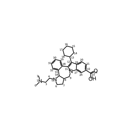 CN(C)CCN1CCC2Cn3c(c(C4CCCCC4)c4ccc(C(=O)O)cc43)-c3ccccc3C21